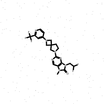 Cn1c(=O)n(CC(F)F)c2nc(N3CCC4(CN(c5ccnc(C(F)(F)F)c5)C4)C3)ncc21